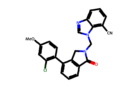 COc1ccc(-c2cccc3c2CN(Cn2cnc4cccc(C#N)c42)C3=O)c(Cl)c1